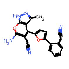 Cc1n[nH]c2c1C(c1ccc(-c3ccccc3C#N)o1)C(C#N)=C(N)O2